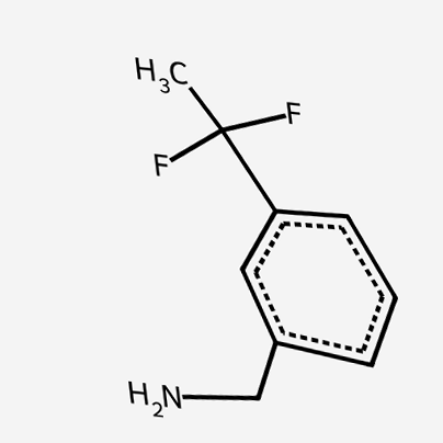 CC(F)(F)c1cccc(CN)c1